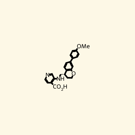 COc1ccc(-c2ccc3c(c2)OCC[C@@H]3CNc2cnccc2C(=O)O)cc1